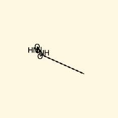 CC#CC#CC#CC#CC#CC#CC#CC#CC#CC#CC(=O)Nc1cc[nH]c(=O)n1